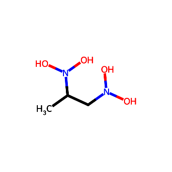 CC(CN(O)O)N(O)O